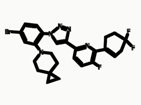 Fc1ccc(-c2cn(-c3ccc(Br)cc3N3CCC4(CC3)CC4)nn2)nc1C1=CCC(F)(F)CC1